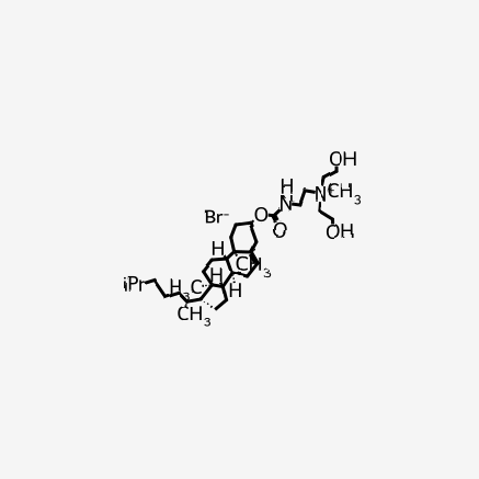 CC(C)CCC[C@@H](C)[C@H]1CC[C@H]2[C@@H]3CC=C4C[C@@H](OC(=O)NCC[N+](C)(CCO)CCO)CC[C@]4(C)[C@H]3CC[C@]12C.[Br-]